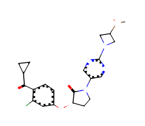 CC(C)[S+]([O-])C1CN(c2ncc(N3CC[C@@H](Oc4ccc(C(=O)C5CC5)c(F)c4)C3=O)cn2)C1